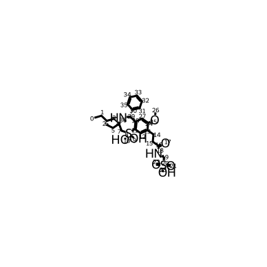 CCCC[C@]1(CC)CS(O)(O)c2cc(CCC(=O)NCS(=O)(=O)O)c(OC)cc2[C@@H](c2ccccc2)N1